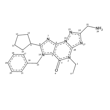 CCn1c(=O)c2c(nc(C3CCCC3)n2Cc2ccccc2)n2nc(CN)nc12